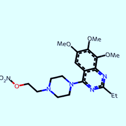 CCc1nc(N2CCN(CCO[N+](=O)[O-])CC2)c2cc(OC)c(OC)c(OC)c2n1